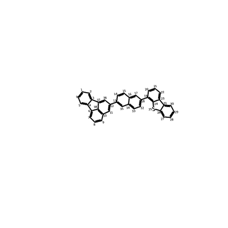 c1ccc2c(c1)-c1cccc3cc(-c4ccc5cc(-c6cccc7c6sc6ccccc67)ccc5c4)cc-2c13